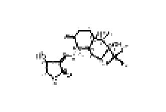 C=C1CC[C@@H]2[C@@H](C)[C@@](O)(C(F)(F)F)CC[C@@]2(C)[C@@H]1CC=C1C(=O)OCC1O